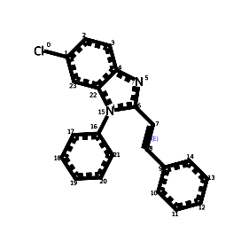 Clc1ccc2nc(/C=C/c3ccccc3)n(-c3ccccc3)c2c1